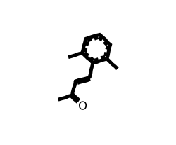 CC(=O)/C=C/c1c(C)cccc1C